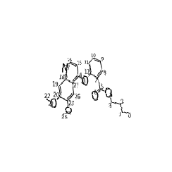 CCCCOC(=O)c1ccccc1Oc1ccnc2cc(OC)c(OC)cc12